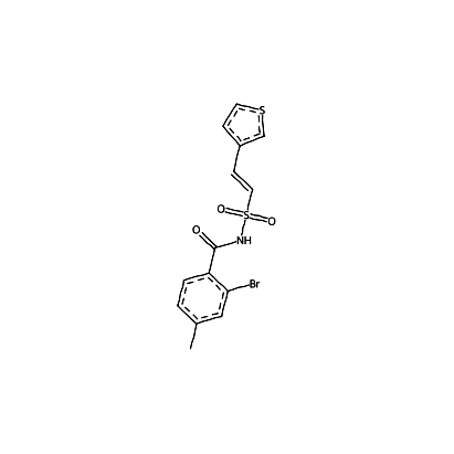 Cc1ccc(C(=O)NS(=O)(=O)/C=C/c2ccsc2)c(Br)c1